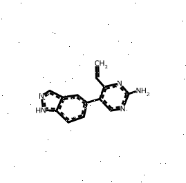 C=Cc1nc(N)ncc1-c1ccc2[nH]ncc2c1